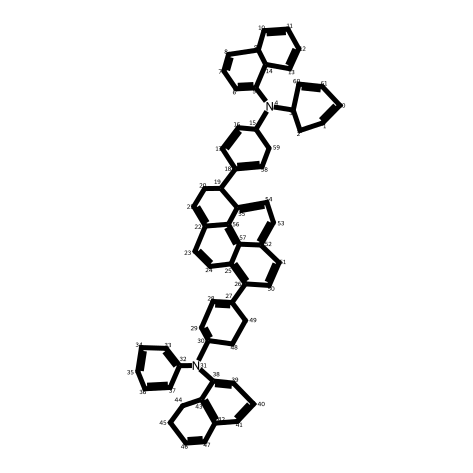 C1=CCC(N(C2=CC=CC3C=CC=CC23)C2C=CC(C3CC=c4ccc5c(C6=CC=C(N(c7ccccc7)c7cccc8c7CCC=C8)CC6)ccc6ccc3c4c65)=CC2)C=C1